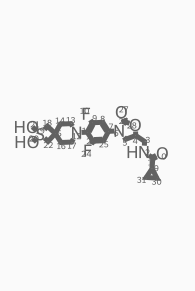 O=C(NCC1CN(c2cc(F)c(N3CCC4(CC3)CS(O)(O)C4)c(F)c2)C(=O)O1)C1CC1